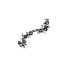 CC[C@@H]1C(=O)N(C)c2cnc(Nc3ccc(C(=O)NC4CCN(CCOCCN(CC(=O)Nc5cccc6c5CN(C5CCC(=O)NC5=O)C6=O)C(N)=O)CC4)cc3OC)nc2N1C1CCCC1